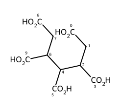 O=C(O)CC(C(=O)O)C(C(=O)O)C(CC(=O)O)C(=O)O